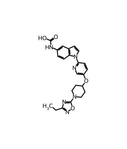 CCc1noc(N2CCC(Oc3ccc(-n4ccc5cc(NC(=O)O)ccc54)nc3)CC2)n1